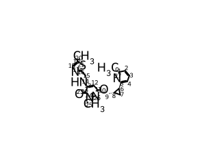 Cc1cccc([C@H]2C[C@@H]2COc2cc(NCc3ncc(C)s3)c(=O)n(C)n2)n1